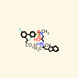 CN(CC(O)CNC(C)(C)CC1Cc2ccccc2C1)S(=O)(=O)c1ccc(-c2cc(F)ccc2CCC(=O)O)c(F)c1